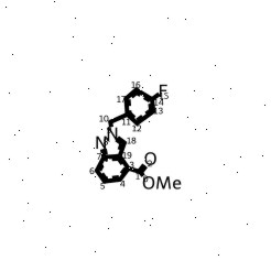 COC(=O)c1cccc2nn(Cc3ccc(F)cc3)cc12